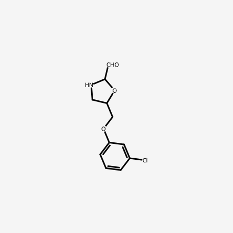 O=CC1NCC(COc2cccc(Cl)c2)O1